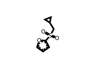 O=S(=O)(CC1CC1)c1ccco1